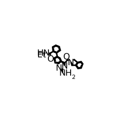 CCNC(=O)c1ccccc1-c1ccc2nc(N)nc(C(=O)N3Cc4ccccc4C3)c2c1